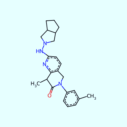 Cc1cccc(N2Cc3ccc(NN4CC5CCCC5C4)nc3C(C)C2=O)c1